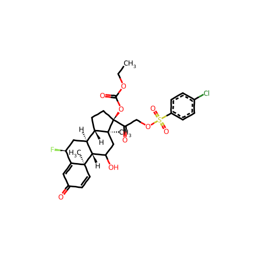 CCOC(=O)O[C@]1(C(=O)COS(=O)(=O)c2ccc(Cl)cc2)CC[C@H]2[C@@H]3C[C@H](F)C4=CC(=O)C=C[C@]4(C)[C@H]3C(O)C[C@@]21C